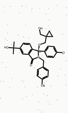 CC(C)(O)c1ccc2c(c1)C(=O)N(Cc1ccc(C#N)cc1)[C@@]2(OCC1(CO)CC1)c1ccc(Cl)cc1